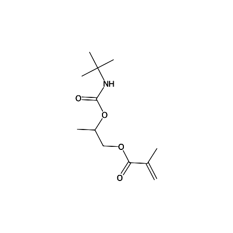 C=C(C)C(=O)OCC(C)OC(=O)NC(C)(C)C